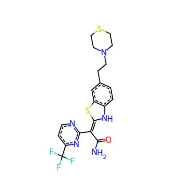 NC(=O)/C(=C1\Nc2ccc(CCN3CCSCC3)cc2S1)c1nccc(C(F)(F)F)n1